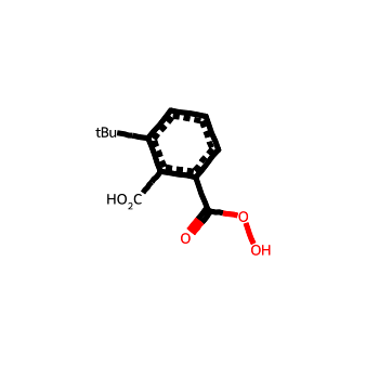 CC(C)(C)c1cccc(C(=O)OO)c1C(=O)O